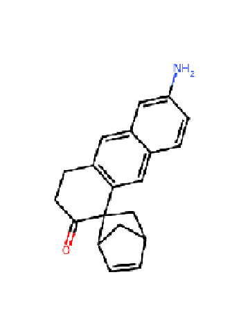 Nc1ccc2cc3c(cc2c1)CCC(=O)C31CC2C=CC1C2